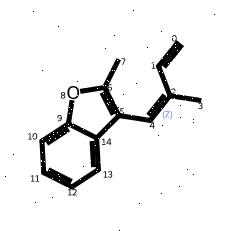 C=C/C(C)=C\c1c(C)oc2ccccc12